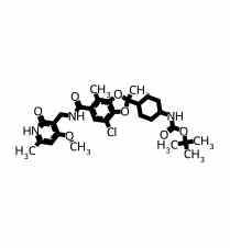 COc1cc(C)[nH]c(=O)c1CNC(=O)c1cc(Cl)c2c(c1C)OC(C)(C1CCC(NC(=O)OC(C)(C)C)CC1)O2